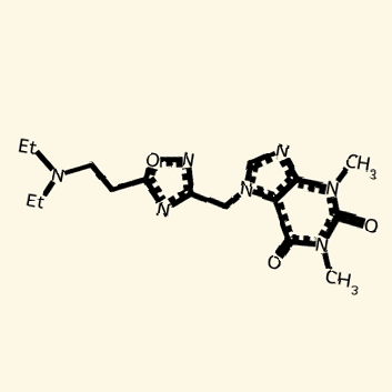 CCN(CC)CCc1nc(Cn2cnc3c2c(=O)n(C)c(=O)n3C)no1